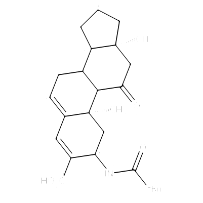 CC(C)(C)C(=O)NC1C[C@@]2(C)C(=CCC3C4CCC[C@@]4(C)CC(=O)C32)C=C1C(=O)O